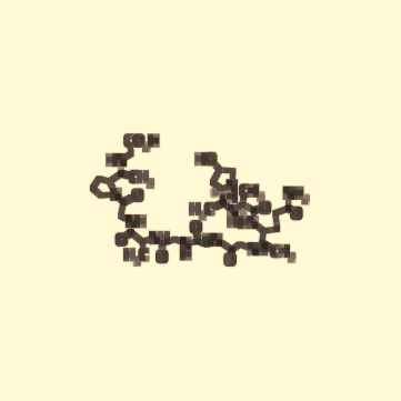 C=C(NCC(=O)NCC(=O)NCC(=O)NC(C)C(=O)NCC(=O)N1CCCC1C(=C)NCC(=O)O)C(CCC(N)=O)NC(=O)[C@H](C)NC(=C)[C@H]1CC(O)CN1